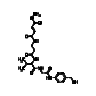 COC(=O)/C=C/C(=O)NCCC(=O)NC(C(=O)NCC(=O)Nc1ccc(CO)cc1)C(C)C